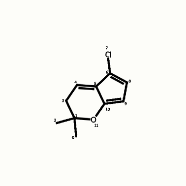 CC1(C)CC=C2C(Cl)=CC=C2O1